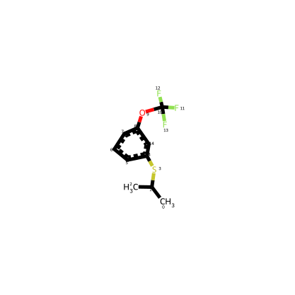 CC(C)Sc1cccc(OC(F)(F)F)c1